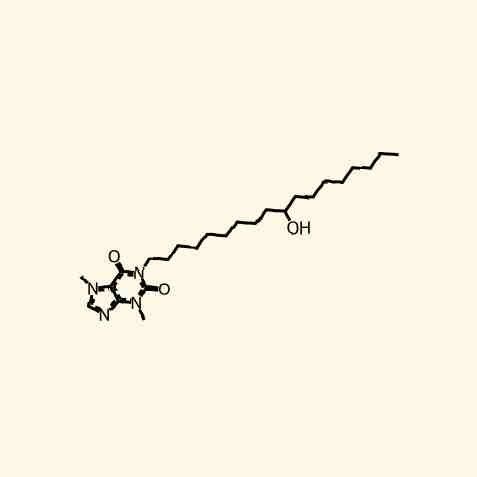 CCCCCCCCC(O)CCCCCCCCCn1c(=O)c2c(ncn2C)n(C)c1=O